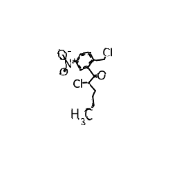 CCCCC(Cl)C(=O)c1cc([N+](=O)[O-])ccc1CCl